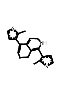 Cc1sccc1C1=CCCC2=C(c3ccsc3C)NCC=C12